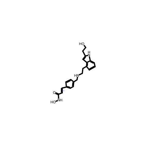 O=C(/C=C/c1ccc(CNCCc2cccc3[nH]c(CCO)cc23)cc1)NO